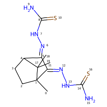 CC12CCC(C(=NNC(N)=S)C1=NNC(N)=S)C2(C)C